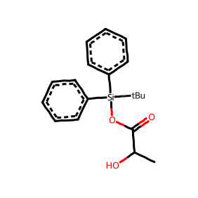 CC(O)C(=O)O[Si](c1ccccc1)(c1ccccc1)C(C)(C)C